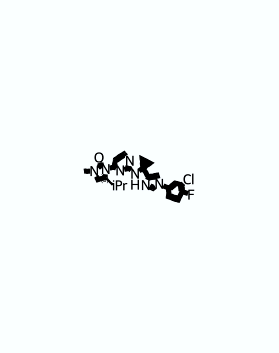 CC(C)[C@H]1CN(C)C(=O)N1c1ccnc(NC2(c3cn(-c4ccc(F)c(Cl)c4)cn3)CC2)n1